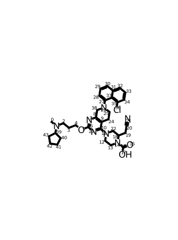 CN(CCCOc1nc2c(c(N3CCN(C(=O)O)C(CC#N)C3)n1)CCN(c1cccc3cccc(Cl)c13)C2)C1CCCC1